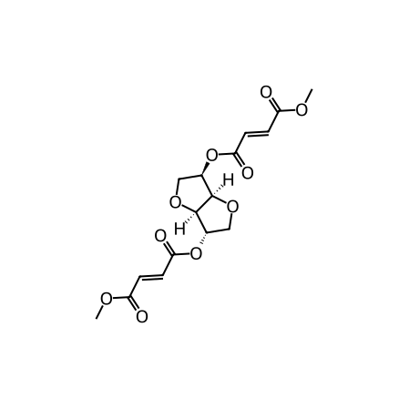 COC(=O)/C=C/C(=O)O[C@H]1CO[C@H]2[C@@H]1OC[C@H]2OC(=O)/C=C/C(=O)OC